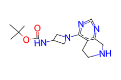 CC(C)(C)OC(=O)NC1CN(c2ncnc3c2CCNC3)C1